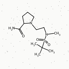 CN(CCN1CCCC1C(N)=O)S(=O)(=O)C(C)(C)C